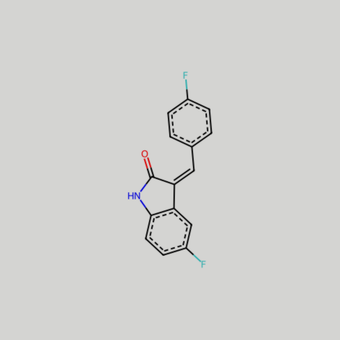 O=C1Nc2ccc(F)cc2/C1=C/c1ccc(F)cc1